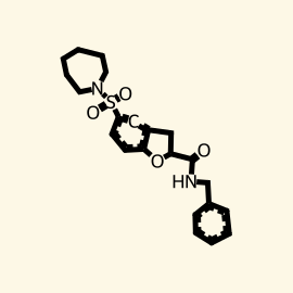 O=C(NCc1ccccc1)C1Cc2cc(S(=O)(=O)N3CCCCCC3)ccc2O1